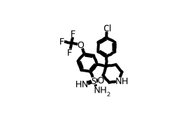 N=S(N)(=O)c1ccc(OC(F)(F)F)cc1C1(c2ccc(Cl)cc2)CCNCC1